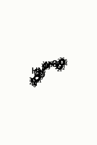 Cn1ccc2cc(S(=O)(=O)NCC3CCN(CCOc4cccc5ccccc45)C3)ccc21